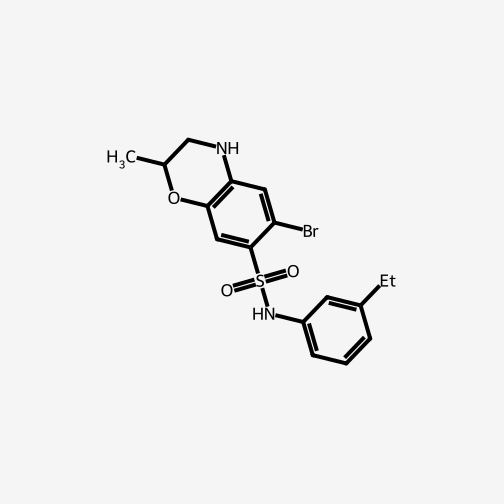 CCc1cccc(NS(=O)(=O)c2cc3c(cc2Br)NCC(C)O3)c1